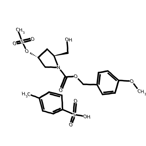 COc1ccc(COC(=O)N2C[C@H](OS(C)(=O)=O)C[C@H]2CO)cc1.Cc1ccc(S(=O)(=O)O)cc1